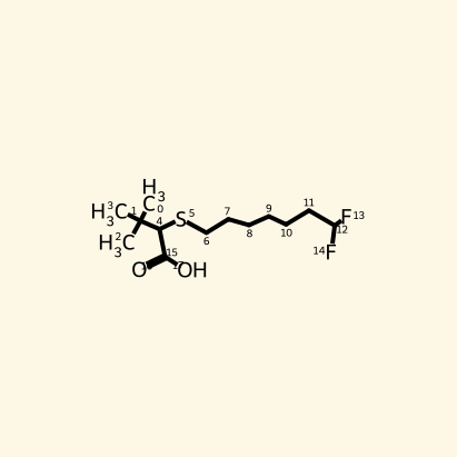 CC(C)(C)C(SCCCCCCC(F)F)C(=O)O